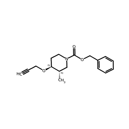 C#CCO[C@H]1CCN(C(=O)OCc2ccccc2)C[C@@H]1C